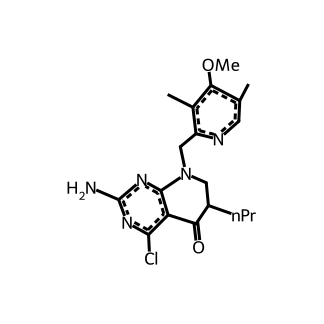 CCCC1CN(Cc2ncc(C)c(OC)c2C)c2nc(N)nc(Cl)c2C1=O